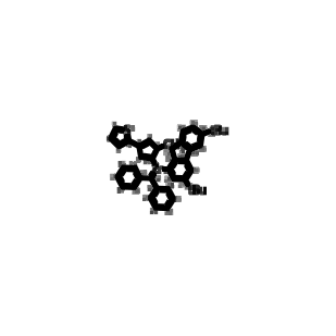 CC1C=C(c2cccs2)C=[C]1[Zr](=[C](c1ccccc1)c1ccccc1)[c]1cc(C(C)(C)C)cc2c1Cc1ccc(C(C)(C)C)cc1-2